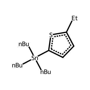 CCC[CH2][Sn]([CH2]CCC)([CH2]CCC)[c]1ccc(CC)s1